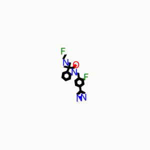 Cn1cc(-c2ccc(CN3C(=O)C4(CN(CCF)C4)c4ccccc43)c(F)c2)cn1